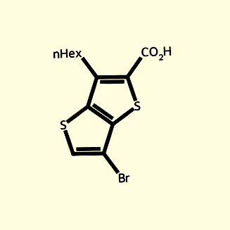 CCCCCCc1c(C(=O)O)sc2c(Br)csc12